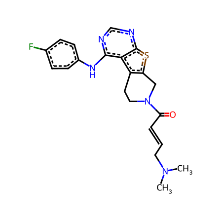 CN(C)CC=CC(=O)N1CCc2c(sc3ncnc(Nc4ccc(F)cc4)c23)C1